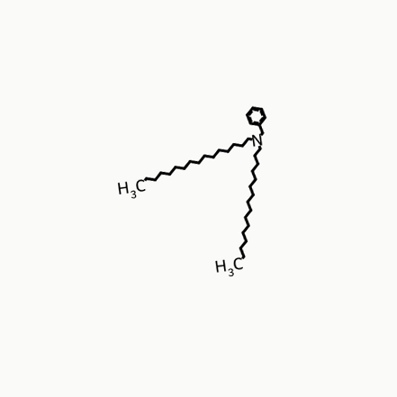 CCCCCCCCCCCCCCCCN(CCCCCCCCCCCCCCCC)Cc1ccccc1